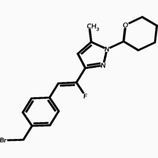 Cc1cc(C(F)=Cc2ccc(CBr)cc2)nn1C1CCCCO1